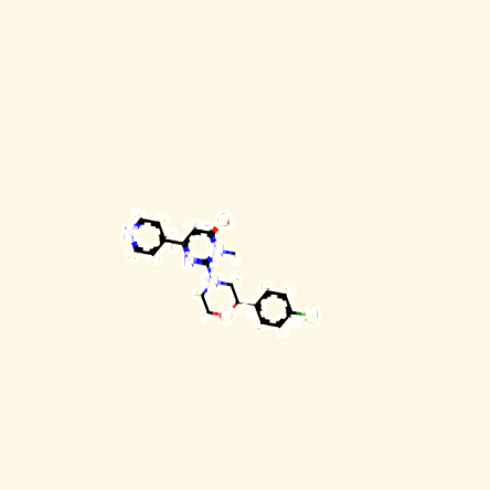 Cn1c(N2CCO[C@H](c3ccc(Cl)cc3)C2)nc(-c2ccncc2)cc1=O